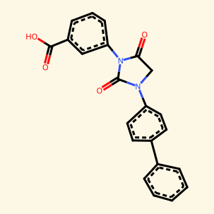 O=C(O)c1cccc(N2C(=O)CN(c3ccc(-c4ccccc4)cc3)C2=O)c1